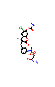 Cc1c(Cc2cccc(NS(=O)(=O)CC(N)=O)c2)c(=O)oc2cc(OC(=O)N(C)C)c(Cl)cc12